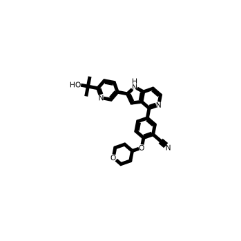 CC(C)(O)c1ccc(-c2cc3c(-c4ccc(OC5CCOCC5)c(C#N)c4)nccc3[nH]2)cn1